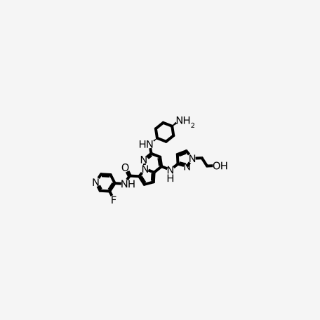 N[C@H]1CC[C@H](Nc2cc(Nc3ccn(CCO)n3)c3ccc(C(=O)Nc4ccncc4F)n3n2)CC1